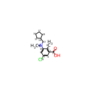 Cc1c(C(=O)O)cc(Cl)cc1N(C)CC1CCCC1